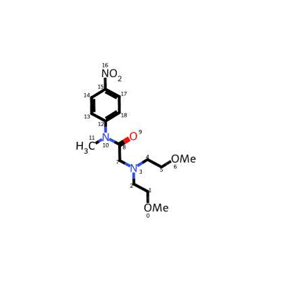 COCCN(CCOC)CC(=O)N(C)c1ccc([N+](=O)[O-])cc1